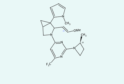 CO/C=C/C1N(c2cc(C(F)(F)F)nc(N3CC[C@@H]3C)n2)CC2CC21c1cccn1C